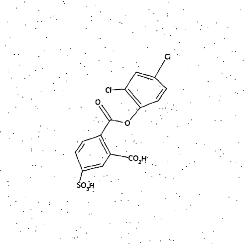 O=C(O)c1cc(S(=O)(=O)O)ccc1C(=O)Oc1ccc(Cl)cc1Cl